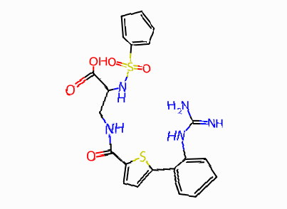 N=C(N)Nc1ccccc1-c1ccc(C(=O)NCC(NS(=O)(=O)c2ccccc2)C(=O)O)s1